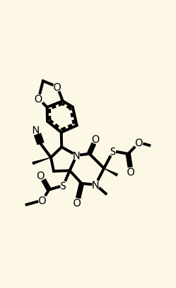 COC(=O)SC12C[C@](C)(C#N)C(c3ccc4c(c3)OCO4)N1C(=O)[C@](C)(SC(=O)OC)N(C)C2=O